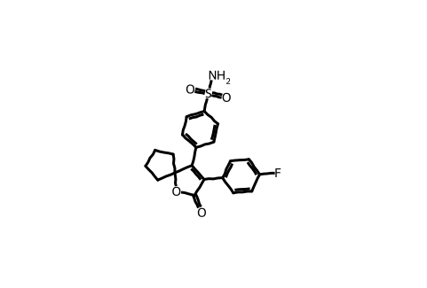 NS(=O)(=O)c1ccc(C2=C(c3ccc(F)cc3)C(=O)OC23CCCC3)cc1